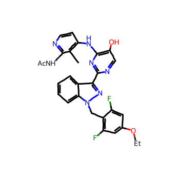 CCOc1cc(F)c(Cn2nc(-c3ncc(O)c(Nc4ccnc(NC(C)=O)c4C)n3)c3ccccc32)c(F)c1